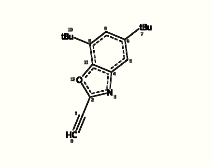 C#Cc1nc2cc(C(C)(C)C)cc(C(C)(C)C)c2o1